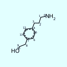 NC[CH]Cc1ccc(CCO)cc1